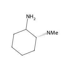 CN[C@@H]1CCCCC1N